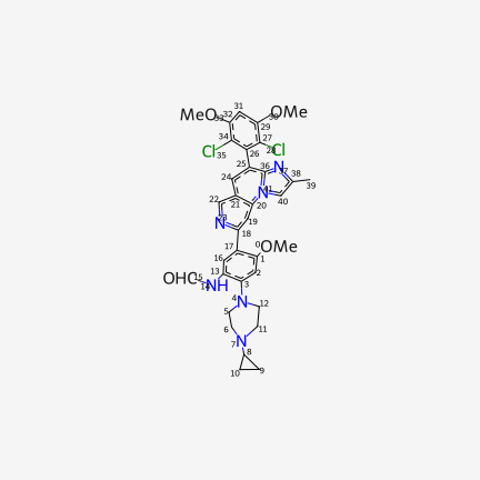 COc1cc(N2CCN(C3CC3)CC2)c(NC=O)cc1-c1cc2c(cn1)cc(-c1c(Cl)c(OC)cc(OC)c1Cl)c1nc(C)cn12